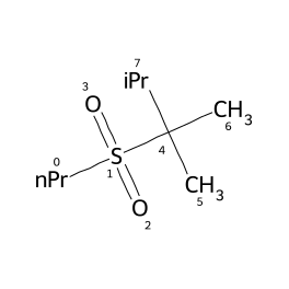 CCCS(=O)(=O)C(C)(C)C(C)C